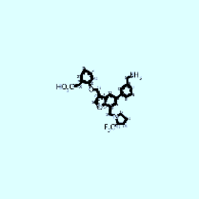 NCc1cccc(-c2cc(CN3CCC[C@H]3C(F)(F)F)c3occ(COc4ccccc4CC(=O)O)c3c2)c1